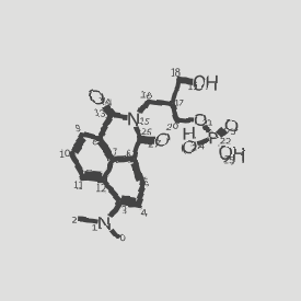 CN(C)c1ccc2c3c(cccc13)C(=O)N(CC(CO)COP(=O)(O)O)C2=O